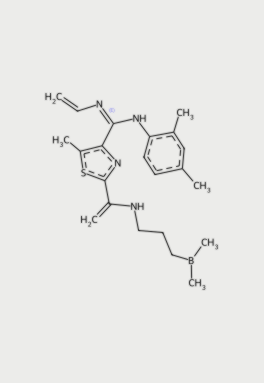 C=C/N=C(/Nc1ccc(C)cc1C)c1nc(C(=C)NCCCB(C)C)sc1C